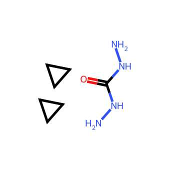 C1CC1.C1CC1.NNC(=O)NN